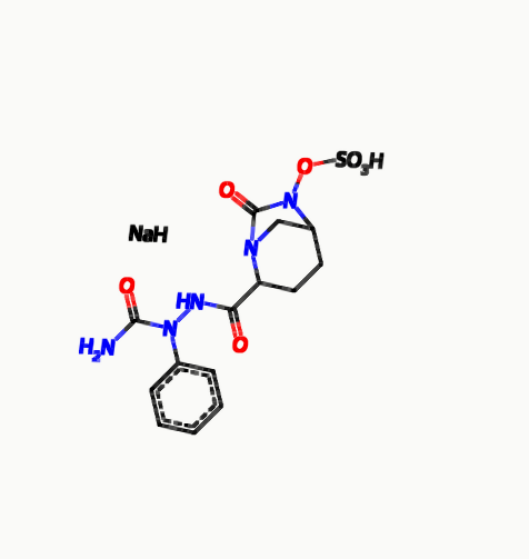 NC(=O)N(NC(=O)C1CCC2CN1C(=O)N2OS(=O)(=O)O)c1ccccc1.[NaH]